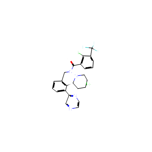 Cl.O=C(NCc1cccc(-c2cnccn2)c1[C@@H]1CCCCN1)c1cccc(C(F)(F)F)c1Cl